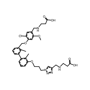 COc1cc(OCc2cccc(-c3cccc(OCCCn4cc(CNCCC(=O)O)nn4)c3C)c2C)c(Cl)cc1CNCCC(=O)O